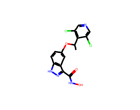 CC(Oc1ccc2[nH]nc(C(=O)NO)c2c1)c1c(Cl)cncc1Cl